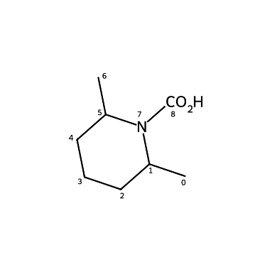 CC1CCCC(C)N1C(=O)O